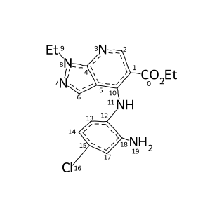 CCOC(=O)c1cnc2c(cnn2CC)c1Nc1ccc(Cl)cc1N